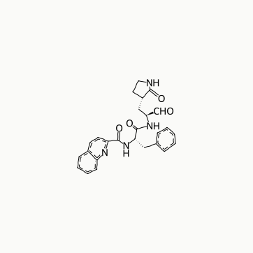 O=C[C@H](C[C@@H]1CCNC1=O)NC(=O)[C@H](Cc1ccccc1)NC(=O)c1ccc2ccccc2n1